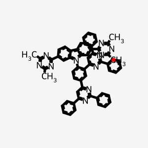 Cc1nc(C)nc(-c2ccc3c4ccc(-c5nc(C)nc(C)n5)cc4n(-c4ccc(-c5cc(-c6ccccc6)nc(-c6ccccc6)n5)cc4-c4cc(-c5ccccc5)nc(-c5ccccc5)n4)c3c2)n1